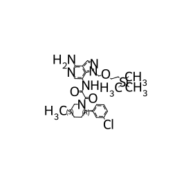 C[C@H]1CC[C@H](c2cccc(Cl)c2)N(C(=O)C(=O)Nc2cnc(N)c3cnn(COCC[Si](C)(C)C)c23)C1